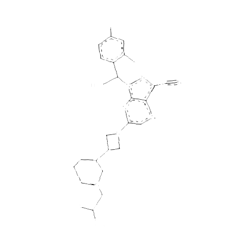 CC(O)CN1CCCC(C2CN(c3cnc4c(C#N)nn(C(C)c5ccc(Cl)cc5Cl)c4n3)C2)C1